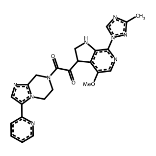 COc1cnc(-n2cnc(C)n2)c2c1C(C(=O)C(=O)N1CCn3c(-c4ccccn4)cnc3C1)CN2